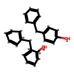 Oc1ccc(Cc2ccccc2)cc1.Oc1ccccc1Cc1ccccc1